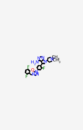 C[N+]1(C)CCC(n2cc(-c3ccc(-n4ncn(Cc5cc(F)ccc5F)c4=O)cc3F)c3c(N)ncnc32)CC1